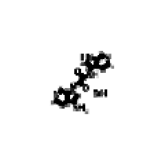 Br.Nc1cn(OC(=O)C(=O)Nc2c[nH]c3cnccc23)c2cnccc12